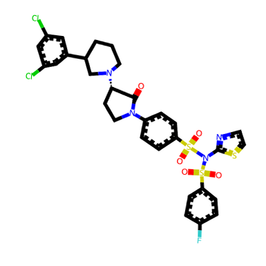 O=C1[C@@H](N2CCCC(c3cc(Cl)cc(Cl)c3)C2)CCN1c1ccc(S(=O)(=O)N(c2nccs2)S(=O)(=O)c2ccc(F)cc2)cc1